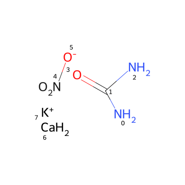 NC(N)=O.O=[N+]([O-])[O-].[CaH2].[K+]